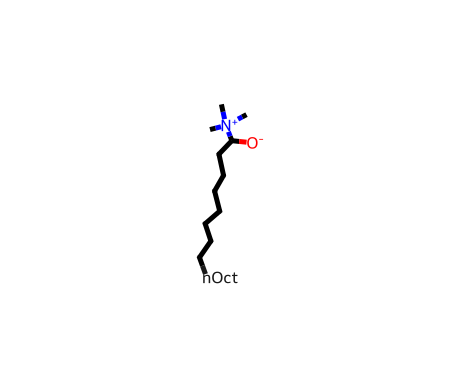 CCCCCCCCCCCCCCCC([O-])[N+](C)(C)C